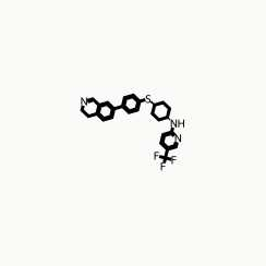 FC(F)(F)c1ccc(N[C@H]2CC[C@H](Sc3ccc(-c4ccc5c(c4)C=NCC5)cc3)CC2)nc1